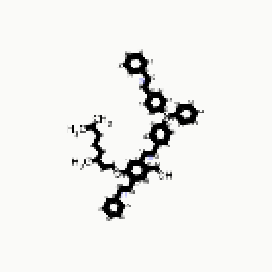 CC(C)CCCC(C)CCOc1cc(/C=C/c2ccc(N(c3ccccc3)c3ccc(/C=C/c4ccccc4)cc3)cc2)c(CO)cc1/C=C/c1ccccc1